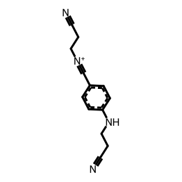 N#CCC[N+]#Cc1ccc(NCCC#N)cc1